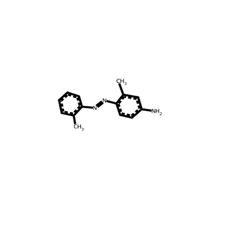 Cc1ccccc1N=Nc1ccc(N)cc1C